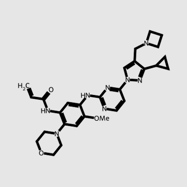 C=CC(=O)Nc1cc(Nc2nccc(-n3cc(CN4CCC4)c(C4CC4)n3)n2)c(OC)cc1N1CCOCC1